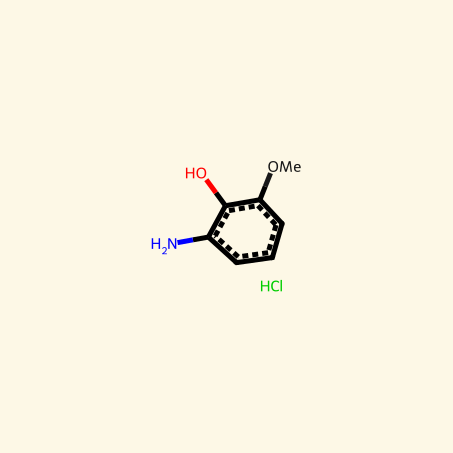 COc1cccc(N)c1O.Cl